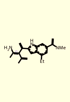 C=C(C)/C(C(=C)c1cc2c(CC)cc(C(=C)NC)cc2[nH]1)=C(\C)N